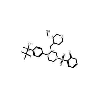 C[C@@](O)(c1ccc(N2CCN(S(=O)(=O)C3=CC=CCC3=S)C[C@@H]2CN2CCOC[C@H]2CO)cc1)C(F)(F)F